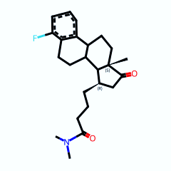 CN(C)C(=O)CCC[C@@H]1CC(=O)[C@@]2(C)CCC3c4cccc(F)c4CCC3C12